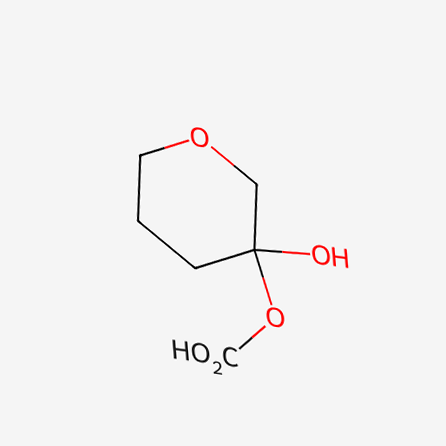 O=C(O)OC1(O)CCCOC1